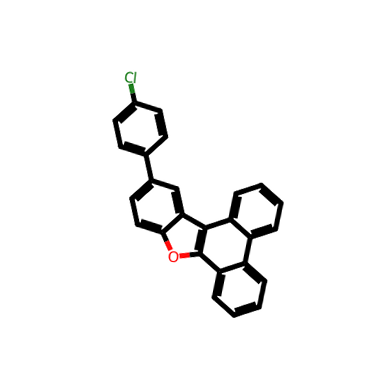 Clc1ccc(-c2ccc3oc4c5ccccc5c5ccccc5c4c3c2)cc1